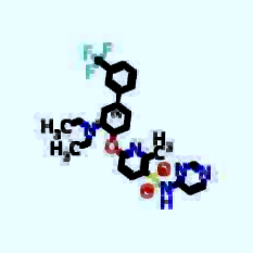 CCN(CC)[C@H]1C[C@@H](c2cccc(C(F)(F)F)c2)CCC1Oc1ccc(S(=O)(=O)Nc2ccncn2)c(C)n1